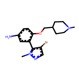 CN1CCC(COc2ccc(N)cc2-c2c(Br)cnn2C)CC1